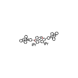 CC(C)c1cc2c(c3ccc(-c4ccc(N(c5ccccc5)c5cccc6c5oc5ccccc56)cc4)cc13)C1(c3ccccc3-c3ccccc31)c1c-2cc(C(C)C)c2cc(-c3ccc(N(c4ccccc4)c4cccc5c4oc4ccccc45)cc3)ccc12